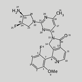 COc1cccc(F)c1-c1nccc2c1CN(c1cc(C)nc(N3C[C@@H](F)[C@@H](N)C3)n1)C2=O